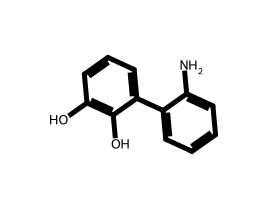 Nc1ccccc1-c1cccc(O)c1O